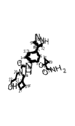 NC(=O)C1(Oc2cc(-c3cn[nH]c3)ccc2NC(=O)N(CCCO)CC2CCC2)CC1